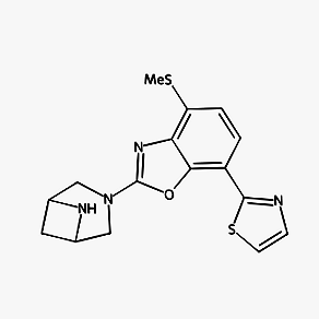 CSc1ccc(-c2nccs2)c2oc(N3CC4CC(C3)N4)nc12